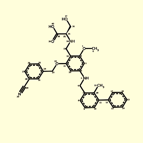 COc1cc(NCc2cccc(-c3ccccc3)c2C)cc(OCc2cccc(C#N)c2)c1CN[C@H](CO)C(=O)O